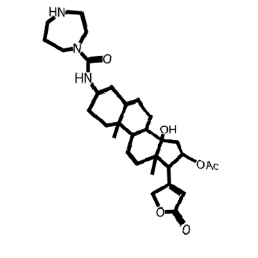 CC(=O)OC1CC2(O)C3CCC4CC(NC(=O)N5CCCNCC5)CCC4(C)C3CCC2(C)C1C1=CC(=O)OC1